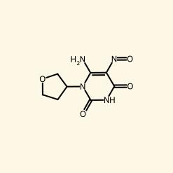 Nc1c(N=O)c(=O)[nH]c(=O)n1C1CCOC1